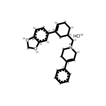 C1=C(c2ccccc2)CCN(CC2CCC=C(c3ccc4c(c3)OCO4)C2)C1.Cl